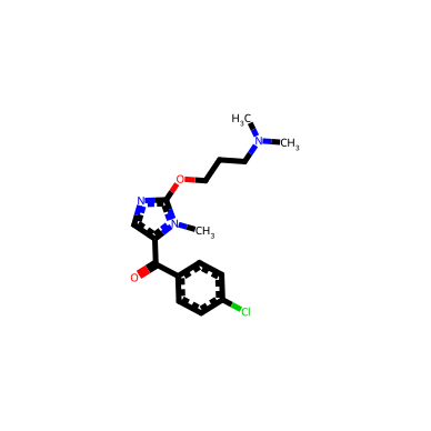 CN(C)CCCOc1ncc(C(=O)c2ccc(Cl)cc2)n1C